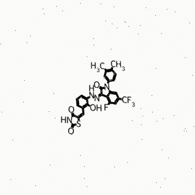 Cc1ccc(N2C(=O)/C(=N\Nc3cccc(C=C4SC(=O)NC4=O)c3O)c3c(F)cc(C(F)(F)F)cc32)cc1C